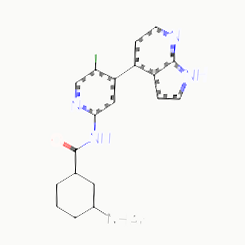 CC(=O)NC1CCCC(C(=O)Nc2cc(-c3ccnc4[nH]ccc34)c(F)cn2)C1